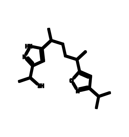 CC(C)c1cc(C(C)CCC(C)c2cc(C(C)S)n[nH]2)on1